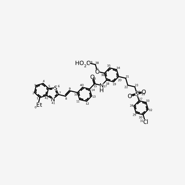 CCc1cccc2sc(/C=C/c3cccc(C(=O)Nc4cc(CCCS(=O)(=O)c5ccc(Cl)cc5)ccc4OCC(=O)O)c3)nc12